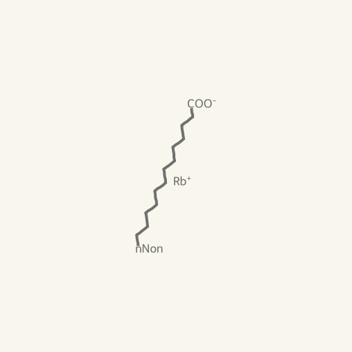 CCCCCCCCCCCCCCCCCCCCCC(=O)[O-].[Rb+]